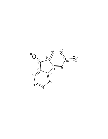 O=C1c2ccccc2-c2cc(Br)ccc21